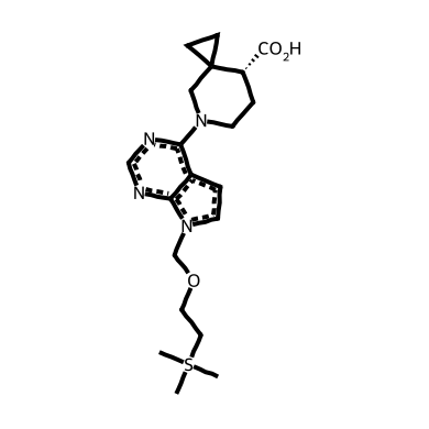 CS(C)(C)CCOCn1ccc2c(N3CC[C@@H](C(=O)O)C4(CC4)C3)ncnc21